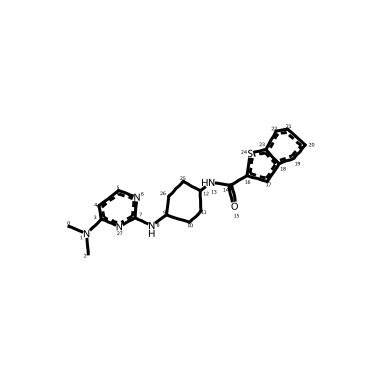 CN(C)c1ccnc(NC2CCC(NC(=O)c3cc4ccccc4s3)CC2)n1